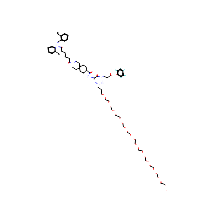 C=Cc1ccccc1CN(C(=O)CCCCC(=O)N1CCC2(CCC(C(=O)N[C@@H](CNC(=O)CCOCCOCCOCCOCCOCCOCCOCCOCCOCCOCCOCCOC)C(=O)NCCC(=O)Oc3c(F)c(F)c(F)c(F)c3F)CC2)CC1)c1ccccc1CC